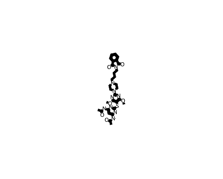 COc1nc(N2CCN(CCCCN3C(=O)c4ccccc4C3=O)CC2)nc(OC)c1Sc1nc([N]C(C)=O)cc([N]C(C)=O)n1